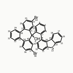 OC1(c2ccccc2-c2cccc3sc4ccccc4c23)c2cc(Br)ccc2-c2ccccc2-c2ccc(Br)cc21